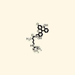 C/N=C(\NC)NCCC[C@@H](C)C(=O)NCc1c(O)ccc2c(-c3ccccc3C(=O)O)c3ccc(=O)cc-3oc12